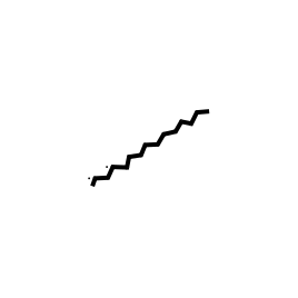 C[CH]C[CH]CCCCCCCCCCC